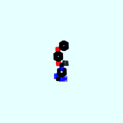 CCC(Oc1ccc(Oc2ccccc2)cc1)N1C=Cc2[nH]cnc2C1